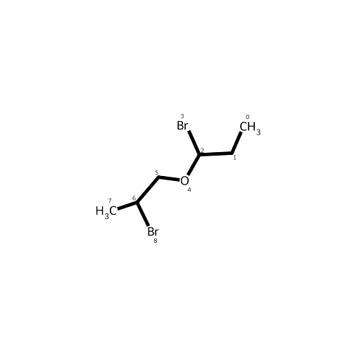 CCC(Br)OCC(C)Br